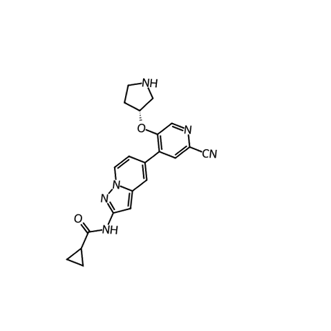 N#Cc1cc(-c2ccn3nc(NC(=O)C4CC4)cc3c2)c(O[C@@H]2CCNC2)cn1